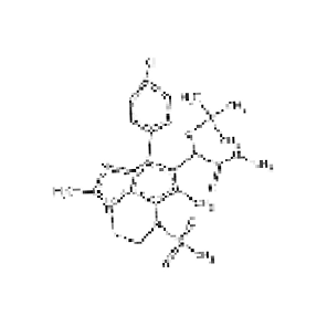 COC(=O)C(OC(C)(C)C)c1c(C)c2c3c(nc(C)n3CCN2S(C)(=O)=O)c1-c1ccc(Cl)cc1